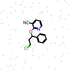 N#Cc1cccnc1OC(CCCl)c1ccccc1